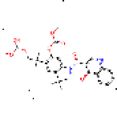 COC(=O)Oc1cc(NC(=O)c2c[nH]c3ccccc3c2=O)c(C(C)(C)C)cc1C(C)(C)COC(O)OC